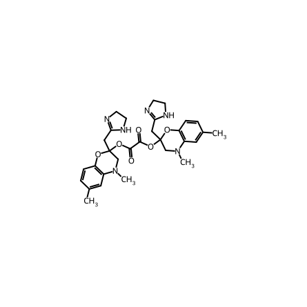 Cc1ccc2c(c1)N(C)CC(CC1=NCCN1)(OC(=O)C(=O)OC1(CC3=NCCN3)CN(C)c3cc(C)ccc3O1)O2